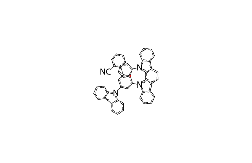 N#Cc1ccccc1-c1cc(-n2c3ccccc3c3ccccc32)cc(-n2c3ccccc3c3ccc4c5ccccc5n(-c5ccccc5)c4c32)c1